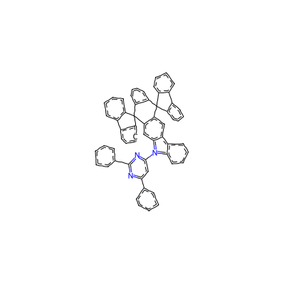 c1ccc(-c2cc(-n3c4ccccc4c4cc5c(cc43)C3(c4ccccc4-c4ccccc43)c3ccccc3C53c4ccccc4-c4ccccc43)nc(-c3ccccc3)n2)cc1